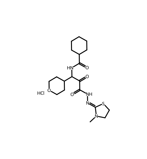 CN1CCS/C1=N\NC(=O)C(=O)C(NC(=O)C1CCCCC1)C1CCOCC1.Cl